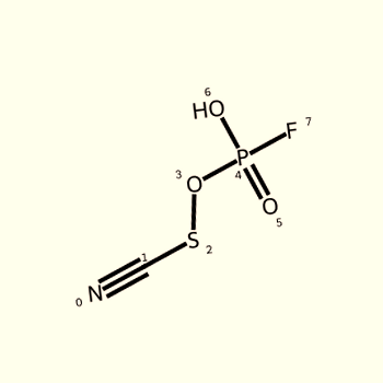 N#CSOP(=O)(O)F